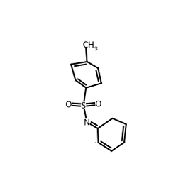 Cc1ccc(S(=O)(=O)N=C2[C]=CC=CC2)cc1